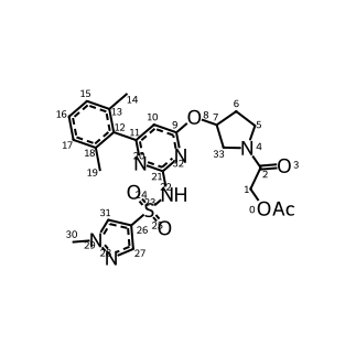 CC(=O)OCC(=O)N1CCC(Oc2cc(-c3c(C)cccc3C)nc(NS(=O)(=O)c3cnn(C)c3)n2)C1